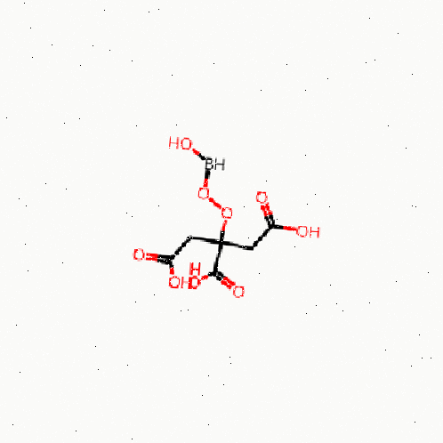 O=C(O)CC(CC(=O)O)(OOBO)C(=O)O